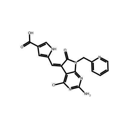 Nc1nc(Cl)c2c(n1)N(Cc1ccccn1)C(=O)C2=Cc1cc(C(=O)O)c[nH]1